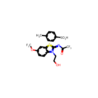 Cc1ccc(S(=O)(=O)O)cc1.O=C(N=c1sc2cc(OC(F)(F)F)ccc2n1CCO)C(F)(F)F